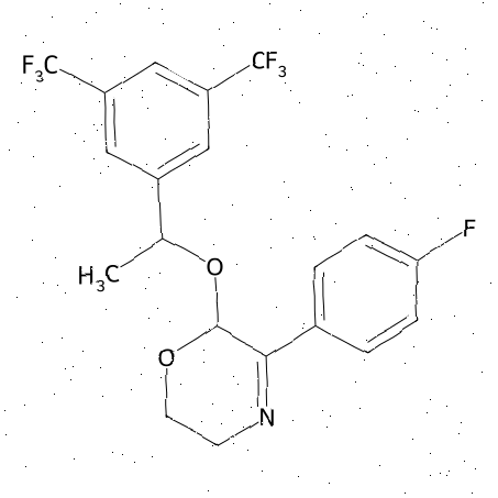 CC(OC1OCCN=C1c1ccc(F)cc1)c1cc(C(F)(F)F)cc(C(F)(F)F)c1